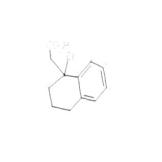 CCC1(CC(=O)O)CCCc2ccccc21